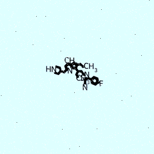 CCCC1=C=c2c(C)cc(CC3CCNCC3)nc2=C1C(CC)Cc1nc(-c2ccc(F)cc2)c(C#N)s1